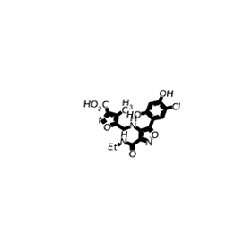 CCNC(=O)c1noc(-c2cc(Cl)c(O)cc2O)c1NCc1onc(C(=O)O)c1C